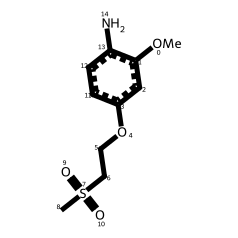 COc1cc(OCCS(C)(=O)=O)ccc1N